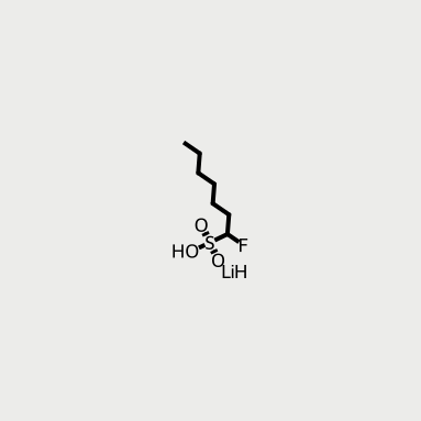 CCCCCCC(F)S(=O)(=O)O.[LiH]